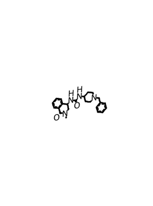 CN1CC(NC(=O)NC2CCN(Cc3ccccc3)CC2)c2ccccc2C1=O